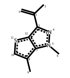 C=C(C)c1nn(C)c2c(C)csc12